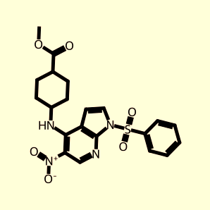 COC(=O)C1CCC(Nc2c([N+](=O)[O-])cnc3c2ccn3S(=O)(=O)c2ccccc2)CC1